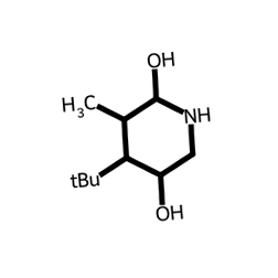 CC1C(O)NCC(O)C1C(C)(C)C